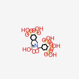 O=C(O)[C@@H]1Cc2cc(S(=O)(=O)O)c(S(=O)(=O)O)cc2CN1C(=O)c1cc(S(=O)(=O)O)c(S(=O)(=O)O)c(S(=O)(=O)O)c1